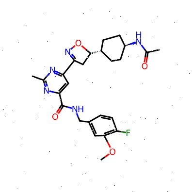 COc1cc(CNC(=O)c2cc(C3=NOC([C@H]4CC[C@H](NC(C)=O)CC4)C3)nc(C)n2)ccc1F